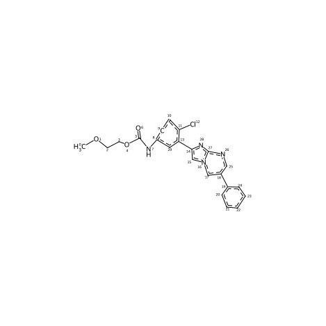 COCCOC(=O)Nc1ccc(Cl)c(-c2cn3cc(-c4ccccc4)cnc3n2)c1